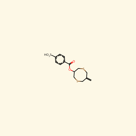 C=C1CSCC(OC(=O)c2ccc(S(=O)(=O)O)cc2)CSC1